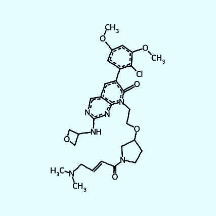 COc1cc(OC)c(Cl)c(-c2cc3cnc(NC4COC4)nc3n(CCOC3CCN(C(=O)C=CCN(C)C)C3)c2=O)c1